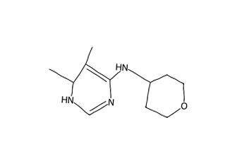 CC1=C(NC2CCOCC2)N=CNC1C